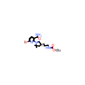 CC(C)(C)OC(=O)NCCC[C@@H]1CN(c2nc(Br)ccc2C(N)=O)C(C)(C)C1